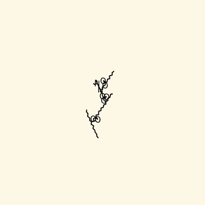 CCCCCCCCC(CCCCCC)COC(=O)CCCCCCCCC(CCCCC)OC(=O)OCCN(CCOC(=O)CCCCCCC)CCN(CC)CC